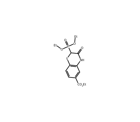 CCOC(=O)c1ccc2c(c1)NC(=O)C(P(=O)(OCC)OCC)S2